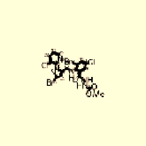 COC(=O)NNC(=O)c1cc(Cl)cc(Br)c1NC(=O)c1cc(Br)nn1-c1ncccc1Cl